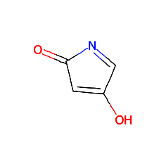 O=C1C=C(O)C=N1